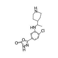 CC(Nc1cc(-c2n[nH]c(=O)o2)ccc1Cl)C1CCNCC1